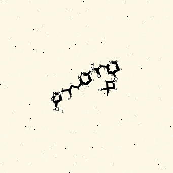 Cc1cn(CC(F)CCc2ccc(NC(=O)Cc3cc(OC4CC(F)(F)C4)ccn3)nn2)nn1